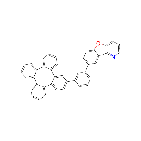 c1cc(-c2ccc3c(c2)-c2ccccc2-c2ccccc2-c2ccccc2-3)cc(-c2ccc3oc4cccnc4c3c2)c1